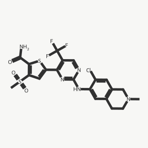 CN1CCc2cc(Nc3ncc(C(F)(F)F)c(-c4cc(S(C)(=O)=O)c(C(N)=O)s4)n3)c(Cl)cc2C1